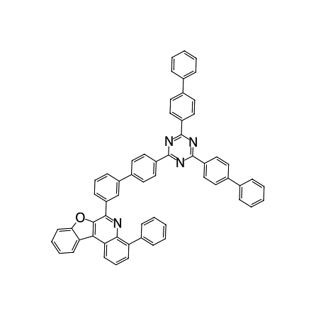 c1ccc(-c2ccc(-c3nc(-c4ccc(-c5ccccc5)cc4)nc(-c4ccc(-c5cccc(-c6nc7c(-c8ccccc8)cccc7c7c6oc6ccccc67)c5)cc4)n3)cc2)cc1